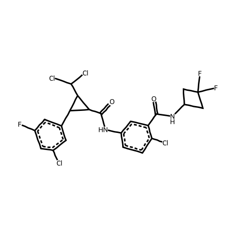 O=C(NC1CC(F)(F)C1)c1cc(NC(=O)C2C(c3cc(F)cc(Cl)c3)C2C(Cl)Cl)ccc1Cl